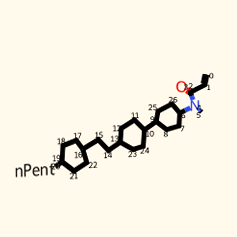 C=CC(=O)N(C)C1CCC(C2CCC(CCC3CCC(CCCCC)CC3)CC2)CC1